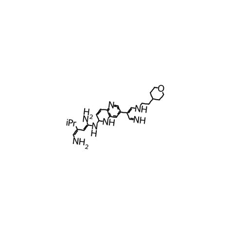 CC(C)C(=C/N)/C=C(\N)NC1C=Cc2ncc(/C(C=N)=C/NCCC3CCOCC3)cc2N1